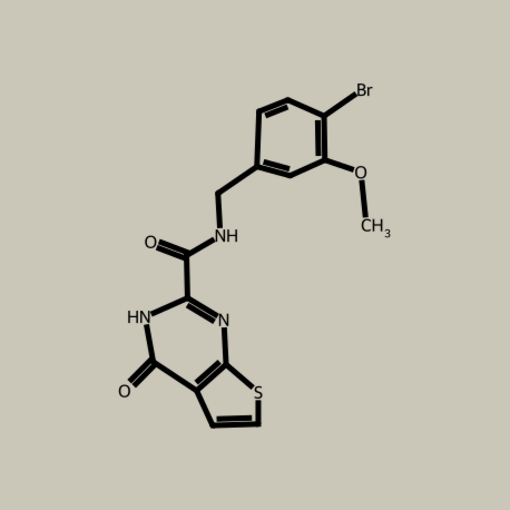 COc1cc(CNC(=O)c2nc3sccc3c(=O)[nH]2)ccc1Br